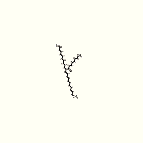 CCCCCCCCCCCCN(CCCCCCCCCCBr)C(=O)CCCCCCC